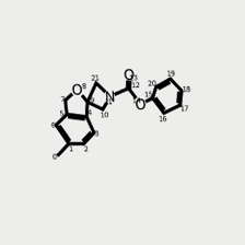 Cc1ccc2c(c1)COC21CN(C(=O)Oc2ccccc2)C1